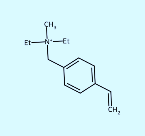 C=Cc1ccc(C[N+](C)(CC)CC)cc1